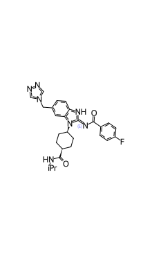 CC(C)NC(=O)[C@H]1CC[C@@H](n2/c(=N/C(=O)c3ccc(F)cc3)[nH]c3ccc(Cn4cnnc4)cc32)CC1